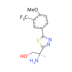 COc1ccc(-c2nnc([C@@](C)(N)CO)s2)cc1C(F)(F)F